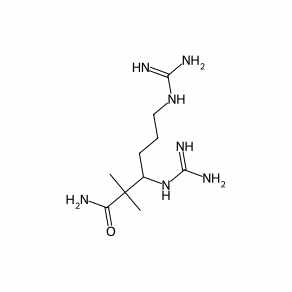 CC(C)(C(N)=O)C(CCCNC(=N)N)NC(=N)N